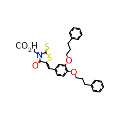 O=C(O)CN1C(=O)C(=Cc2ccc(OCCCc3ccccc3)c(OCCCc3ccccc3)c2)SC1=S